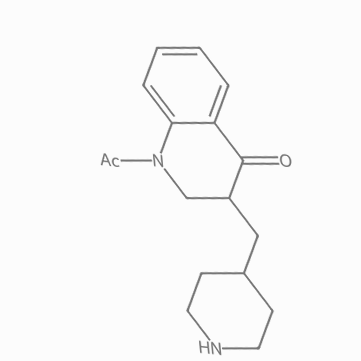 CC(=O)N1CC(CC2CCNCC2)C(=O)c2ccccc21